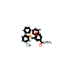 COC(=O)c1ccc(O)c(C[P+](c2ccccc2)(c2ccccc2)c2ccccc2)c1.[Cl-]